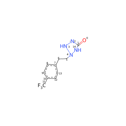 O=C1[N]NN(CCc2ccc(C(F)(F)F)cc2)N1